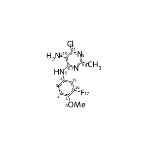 COc1ccc(Nc2nc(C)nc(Cl)c2N)cc1F